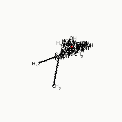 CCCCCCCCCCCCC/C=C/[C@@H](O)[C@H](CO[C@@H]1OC(CO)[C@@H](O[C@@H]2OC(CO)[C@H](O[C@@H]3OC(CO[C@]4(C(=O)O)CC(O)[C@@H](NC(C)=O)C([C@H](O)[C@H](O)CO)O4)[C@H](O)[C@H](O[C@@H]4OC(CO)[C@H](O)[C@H](O[C@]5(C(=O)O)CC(O)[C@@H](O)C([C@H](O)[C@H](O)CO)O5)C4O)C3NC(C)=O)[C@H](O)C2O)[C@H](O)C1O)NC(=O)CCCCCCCCCCCCCCCCCCCCC